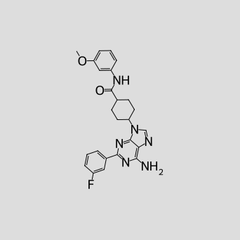 COc1cccc(NC(=O)C2CCC(n3cnc4c(N)nc(-c5cccc(F)c5)nc43)CC2)c1